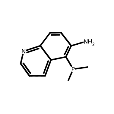 CP(C)c1c(N)ccc2ncccc12